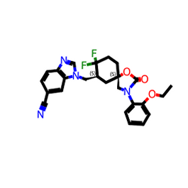 CCOc1ccccc1N1C[C@@]2(CCC(F)(F)[C@H](Cn3cnc4ccc(C#N)cc43)C2)OC1=O